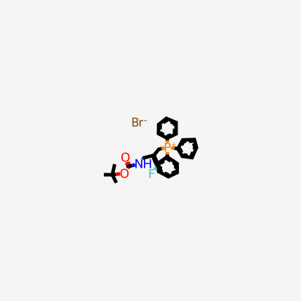 CC(C)(C)OC(=O)NCC(=CF)C[P+](c1ccccc1)(c1ccccc1)c1ccccc1.[Br-]